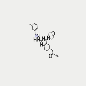 C#CC(=O)CC1CCc2nc(N/N=C/c3cccc(C)c3)nc(N3CCOCC3)c2C1